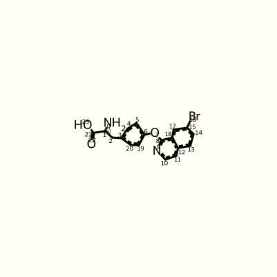 N[C@@H](Cc1ccc(Oc2nccc3ccc(Br)cc23)cc1)C(=O)O